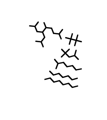 CC(C)(C)C(C)(C)C.CC(C)CC(C)(C)C.CC(C)CCC(C)C(CC(C)C)CC(C)C.CCCCCC(C)C.CCCCCCC.CCCCCCCC